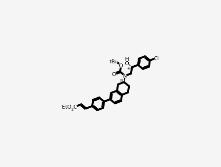 CCOC(=O)C=Cc1ccc(-c2ccc3c(c2)C[C@@H](N(C[C@H](O)c2ccc(Cl)cc2)C(=O)OC(C)(C)C)CC3)cc1